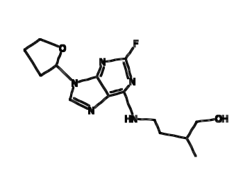 CC(CO)CCNc1nc(F)nc2c1ncn2C1CCCO1